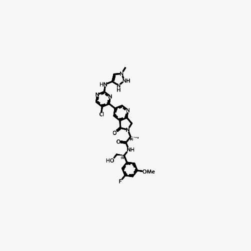 COc1cc(F)cc([C@@H](CO)NC(=O)[C@@H](C)N2Cc3ncc(-c4nc(NC5=CN(C)NN5)ncc4Cl)cc3C2=O)c1